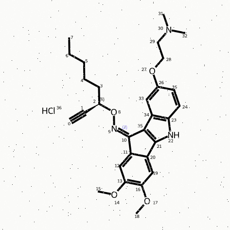 C#C[C@@H](CCCCC)O/N=C1/c2cc(OC)c(OC)cc2-c2[nH]c3ccc(OCCN(C)C)cc3c21.Cl